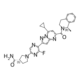 C[C@@H]1c2ccccc2CCN1C(=O)c1cc(C2CC2)n2nc(-c3ncc(N4CC[C@H](C(N)=O)C4)nc3F)cc2n1